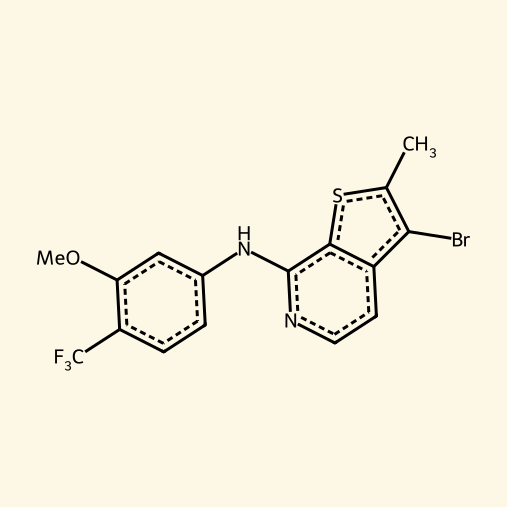 COc1cc(Nc2nccc3c(Br)c(C)sc23)ccc1C(F)(F)F